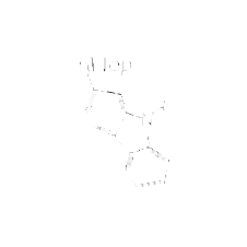 CCCCCCCc1ccc2c3ccccc3n(I)c2c1